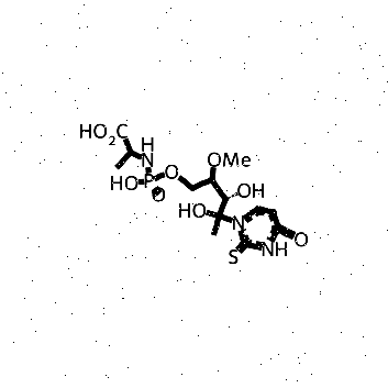 COC(COP(=O)(O)NC(C)C(=O)O)[C@H](O)C(C)(O)n1ccc(=O)[nH]c1=S